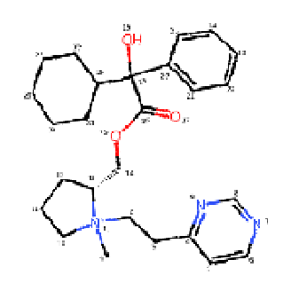 C[N+]1(CCc2ccncn2)CCC[C@@H]1COC(=O)C(O)(c1ccccc1)C1CCCCC1